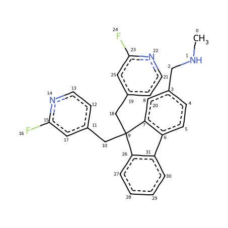 CNCc1ccc2c(c1)C(Cc1ccnc(F)c1)(Cc1ccnc(F)c1)c1ccccc1-2